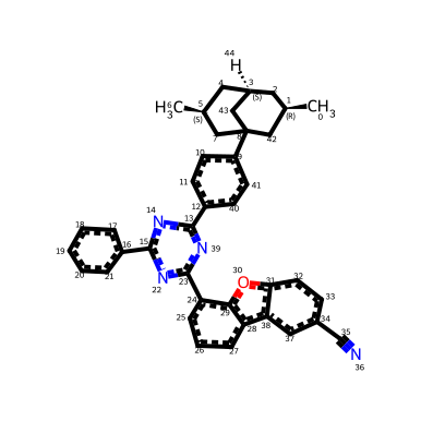 C[C@@H]1C[C@@H]2C[C@H](C)CC(c3ccc(-c4nc(-c5ccccc5)nc(-c5cccc6c5oc5ccc(C#N)cc56)n4)cc3)(C1)C2